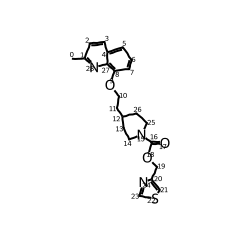 Cc1ccc2cccc(OCCC3CCN(C(=O)OCc4cscn4)CC3)c2n1